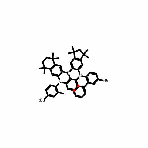 Cc1cc2c3c(c1)N(c1ccc(C(C)(C)C)cc1-c1ccccc1)c1cc4c(cc1B3c1cc3c(cc1N2c1ccc(C(C)(C)C)cc1C)C(C)(C)CCC3(C)C)C(C)(C)CC4(C)C